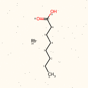 CCCCCCCC(=O)O.[Rb]